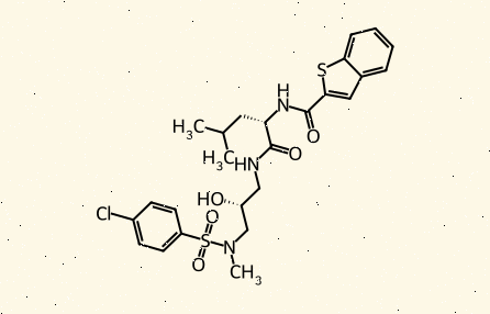 CC(C)C[C@H](NC(=O)c1cc2ccccc2s1)C(=O)NC[C@@H](O)CN(C)S(=O)(=O)c1ccc(Cl)cc1